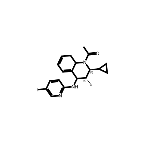 CC(=O)N1C2CC=CC=C2C(Nc2ccc(I)cn2)[C@@H](C)[C@@H]1C1CC1